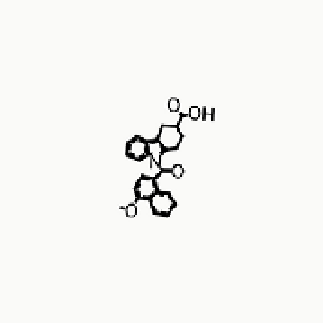 COc1ccc(C(=O)n2c3c(c4ccccc42)CC(C(=O)O)CC3)c2ccccc12